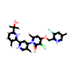 Cc1cnc(COc2cc(C)n(-c3cc(-c4nc(C(C)(C)O)ccc4C)ncc3C)c(=O)c2Cl)c(F)c1